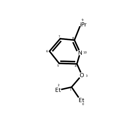 CCC(CC)Oc1cccc(C(C)C)n1